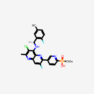 COP(=O)(O)c1ccc(-c2nc3c(N[C@H](C)c4cc(C#N)ccc4F)c(Cl)c(C)nc3cc2F)cn1